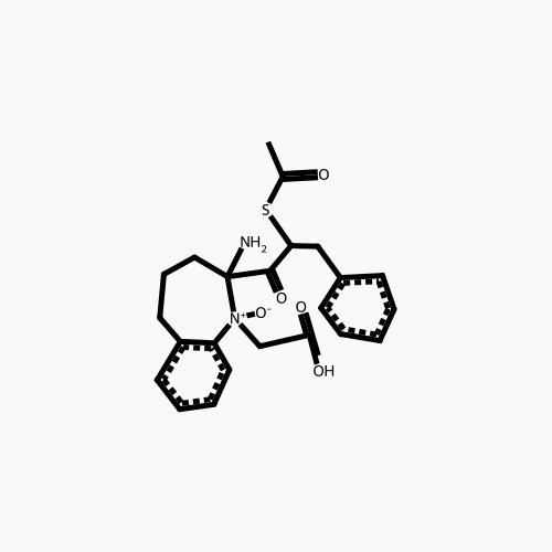 CC(=O)SC(Cc1ccccc1)C(=O)C1(N)CCCc2ccccc2[N+]1([O-])CC(=O)O